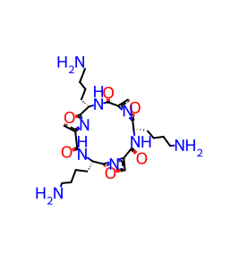 NCCCC[C@@H]1NC(=O)c2coc(n2)[C@H](CCCCN)NC(=O)c2coc(n2)[C@H](CCCCN)NC(=O)c2coc1n2